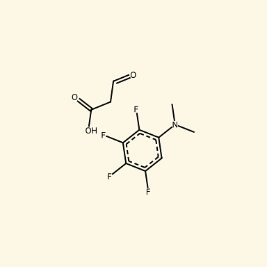 CN(C)c1cc(F)c(F)c(F)c1F.O=CCC(=O)O